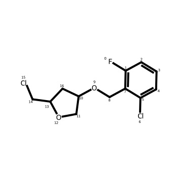 Fc1cccc(Cl)c1COC1COC(CCl)C1